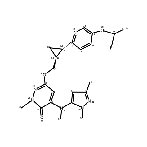 Cc1cc(N(C)c2cc(OC[C@H]3C[C@@H]3c3ccc(OC(F)F)cn3)nn(C)c2=O)n(C)n1